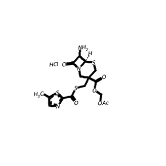 CC(=O)OCOC(=O)C1(CSC(=O)c2ncc(C)s2)CS[C@@H]2C(N)C(=O)N2C1.Cl